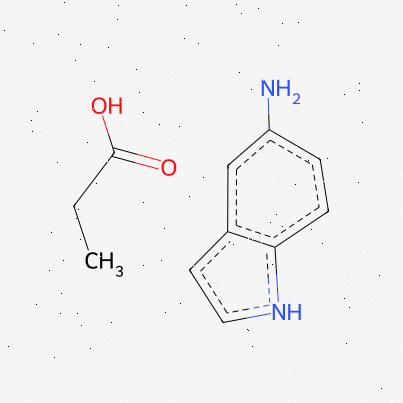 CCC(=O)O.Nc1ccc2[nH]ccc2c1